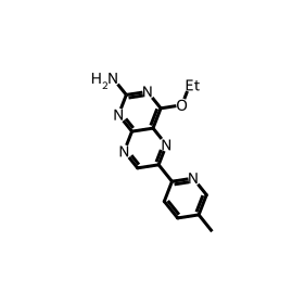 CCOc1nc(N)nc2ncc(-c3ccc(C)cn3)nc12